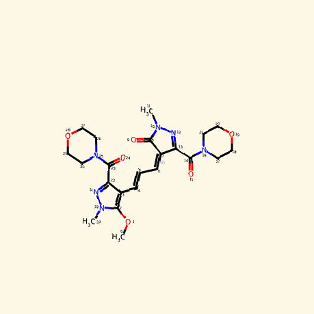 COc1c(C=C/C=C2\C(=O)N(C)N=C2C(=O)N2CCOCC2)c(C(=O)N2CCOCC2)nn1C